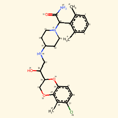 Cc1cccc(C)c1C(C(N)=O)N1CCC(NCC(O)C2COc3c(ccc(Cl)c3C)O2)CC1